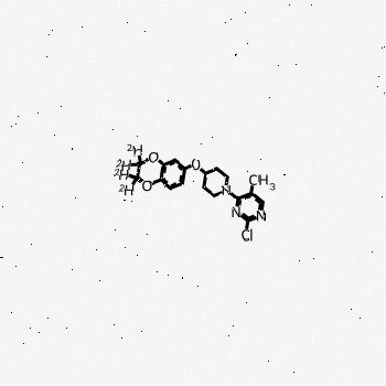 [2H]C1([2H])Oc2ccc(OC3CCN(c4nc(Cl)ncc4C)CC3)cc2OC1([2H])[2H]